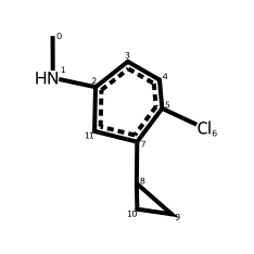 CNc1ccc(Cl)c(C2CC2)c1